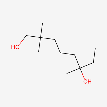 CCC(C)(O)CCCC(C)(C)CO